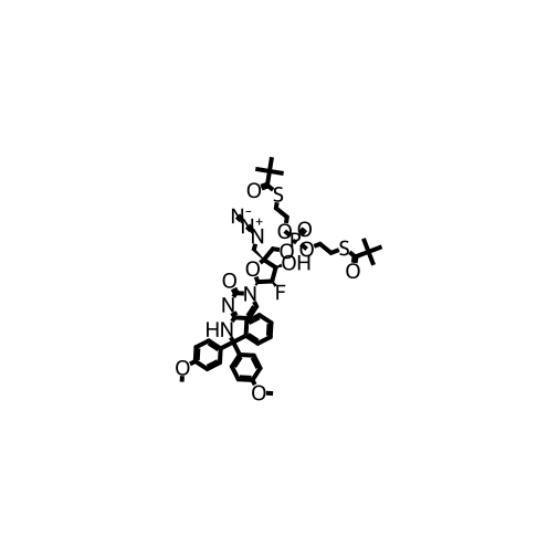 COc1ccc(C(Nc2ccn([C@@H]3O[C@](CN=[N+]=[N-])(COP(=O)(OCCSC(=O)C(C)(C)C)OCCSC(=O)C(C)(C)C)[C@@H](O)[C@H]3F)c(=O)n2)(c2ccccc2)c2ccc(OC)cc2)cc1